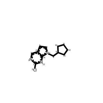 Clc1ncc2ccn(CC3CCCC3)c2n1